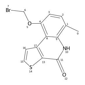 Cc1ccc(OCBr)c2c1[nH]c(=O)c1sccc12